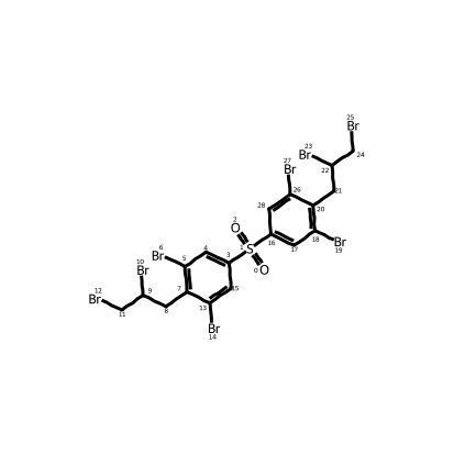 O=S(=O)(c1cc(Br)c(CC(Br)CBr)c(Br)c1)c1cc(Br)c(CC(Br)CBr)c(Br)c1